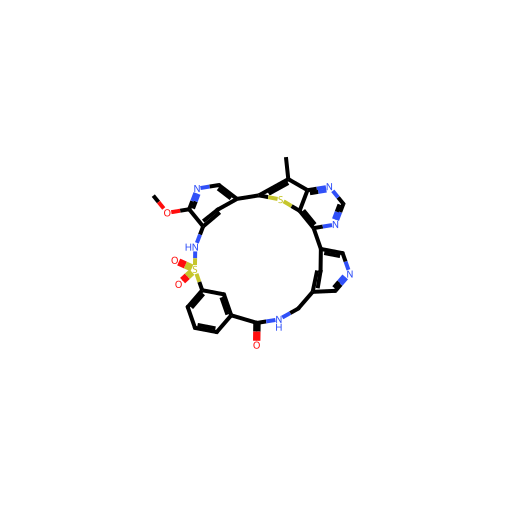 COc1ncc2cc1NS(=O)(=O)c1cccc(c1)C(=O)NCc1cncc(c1)-c1ncnc3c(C)c-2sc13